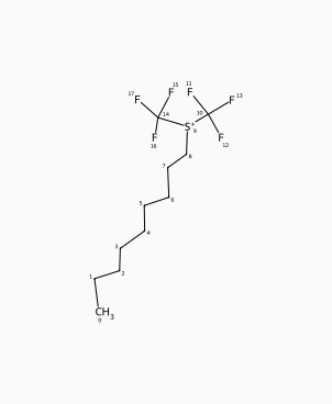 CCCCCCCCC[S+](C(F)(F)F)C(F)(F)F